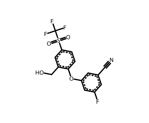 N#Cc1cc(F)cc(Oc2ccc(S(=O)(=O)C(F)(F)F)cc2CO)c1